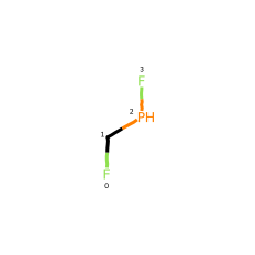 FCPF